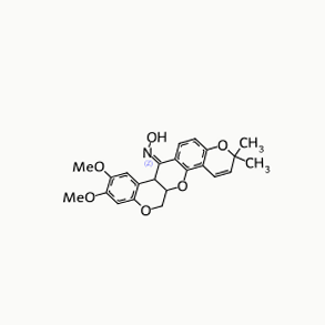 COc1cc2c(cc1OC)C1/C(=N/O)c3ccc4c(c3OC1CO2)C=CC(C)(C)O4